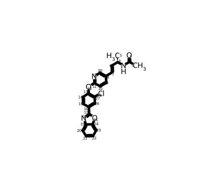 CC(=O)N[C@@H](C)/C=C/c1ccc(Oc2ccc(-c3nc4ccccc4o3)cc2Cl)nc1